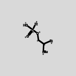 CCCCC(CC)COP(=O)(O)CC